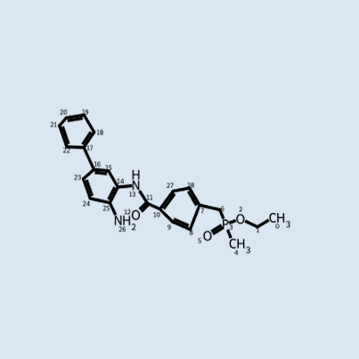 CCOP(C)(=O)Cc1ccc(C(=O)Nc2cc(-c3ccccc3)ccc2N)cc1